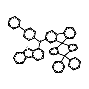 c1ccc(-c2ccc(N(c3ccc4c(c3)C3(c5ccccc5-4)c4ccccc4C(c4ccccc4)(c4ccccc4)c4ccccc43)c3cccc4c3sc3ccccc34)cc2)cc1